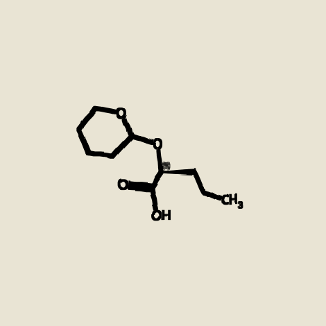 CCC[C@H](OC1CCCCO1)C(=O)O